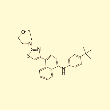 CC(C)(C)c1ccc(Nc2ccc(-c3csc(N4CCOCC4)n3)c3ccccc23)cc1